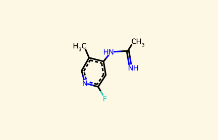 CC(=N)Nc1cc(F)ncc1C